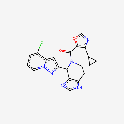 O=C(c1ocnc1C1CC1)N1CCc2[nH]cnc2C1c1cc2c(Cl)cccn2n1